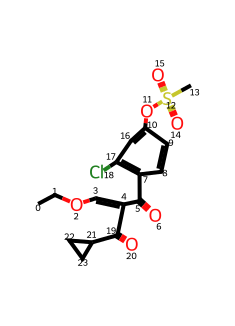 CCOC=C(C(=O)c1ccc(OS(C)(=O)=O)cc1Cl)C(=O)C1CC1